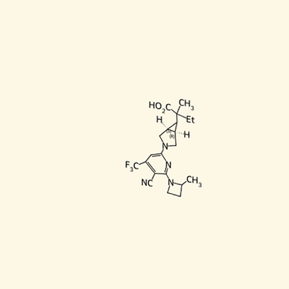 CCC(C)(C(=O)O)C1[C@H]2CN(c3cc(C(F)(F)F)c(C#N)c(N4CCC4C)n3)C[C@@H]12